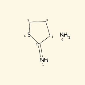 N.N=C1CCCS1